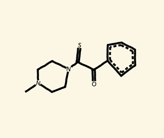 CN1CCN(C(=S)C(=O)c2ccccc2)CC1